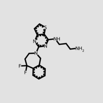 NCCCNc1nc(N2CCC(F)(F)c3ccccc3C2)nc2ccsc12